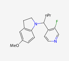 CCCC(c1ccncc1F)N1CCc2cc(OC)ccc21